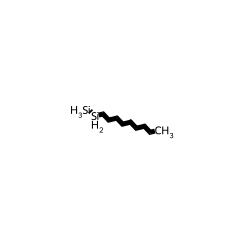 CCCC[CH]CCCC[SiH2][SiH3]